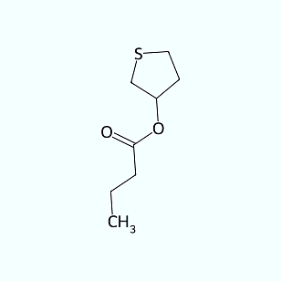 CCCC(=O)OC1CCSC1